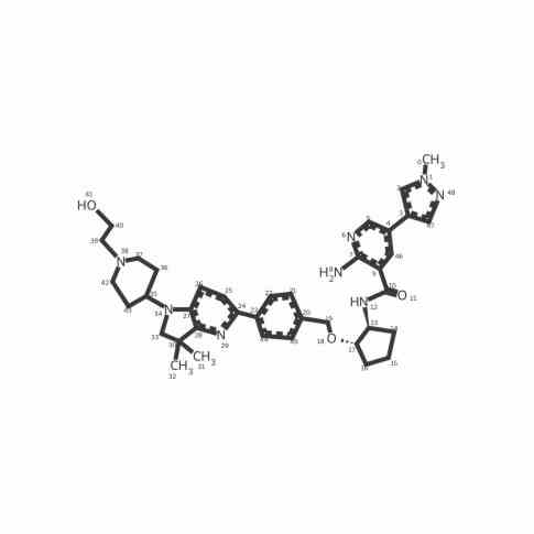 Cn1cc(-c2cnc(N)c(C(=O)N[C@H]3CCC[C@@H]3OCc3ccc(-c4ccc5c(n4)C(C)(C)CN5C4CCN(CCO)CC4)cc3)c2)cn1